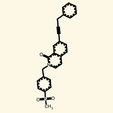 CS(=O)(=O)c1ccc(Cn2ccc3ccc(C#CCc4ccccc4)cc3c2=O)cc1